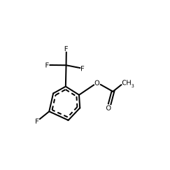 CC(=O)Oc1ccc(F)cc1C(F)(F)F